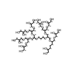 OCC(O)CCCC(COCC(O)CO)OCC(COC(COCC(O)CO)COCC(O)CO)OCCCOC(COC(COCC(O)CO)COCC(O)CO)COC(COCC(O)CO)COCC(O)CO